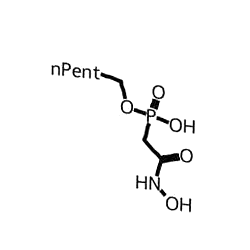 CCCCCCOP(=O)(O)CC(=O)NO